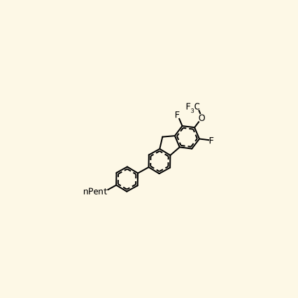 CCCCCc1ccc(-c2ccc3c(c2)Cc2c-3cc(F)c(OC(F)(F)F)c2F)cc1